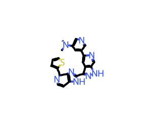 CN(C)c1cncc(-c2cc3c(-c4nc5c(-c6cccs6)nccc5[nH]4)n[nH]c3cn2)c1